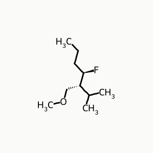 CCC[C@@H](F)[C@@H](COC)C(C)C